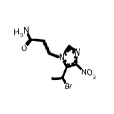 CC(Br)c1c([N+](=O)[O-])ncn1CCC(N)=O